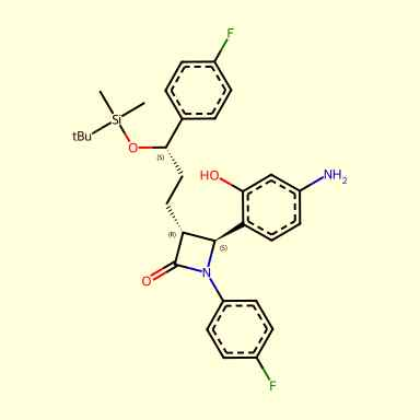 CC(C)(C)[Si](C)(C)O[C@@H](CC[C@H]1C(=O)N(c2ccc(F)cc2)[C@@H]1c1ccc(N)cc1O)c1ccc(F)cc1